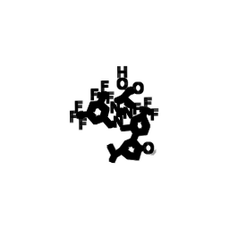 COc1ccc(C(C)C)cc1-c1ccc(C(F)(F)F)cc1CN(Cc1cc(C(F)(F)F)cc(C(F)(F)F)c1)c1ncc(C(=O)O)cn1